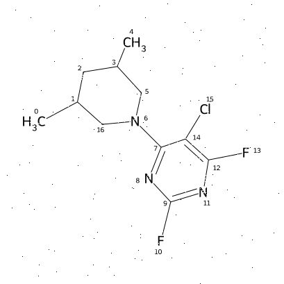 CC1CC(C)CN(c2nc(F)nc(F)c2Cl)C1